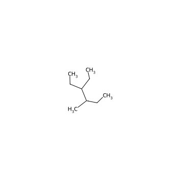 CC[C](C)C(CC)CC